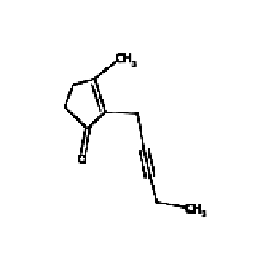 CCC#CCC1=C(C)CCC1=O